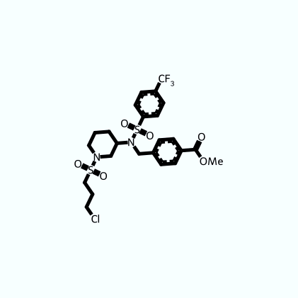 COC(=O)c1ccc(CN(C2CCCN(S(=O)(=O)CCCCl)C2)S(=O)(=O)c2ccc(C(F)(F)F)cc2)cc1